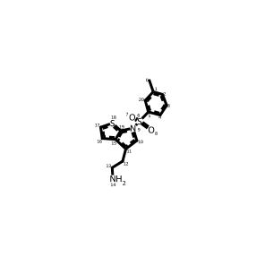 Cc1cccc(S(=O)(=O)n2cc(CCN)c3ccsc32)c1